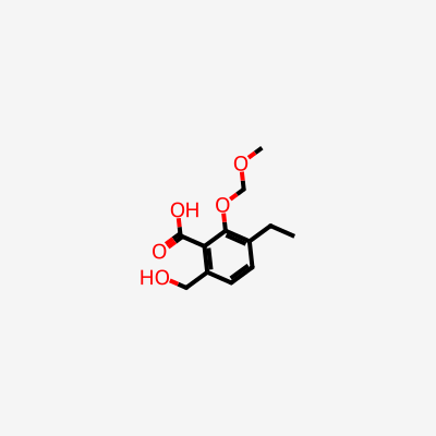 CCc1ccc(CO)c(C(=O)O)c1OCOC